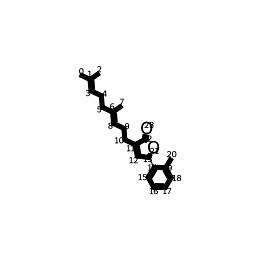 CC(C)=CCC/C(C)=C/CCC1=C[C@@H](c2ccccc2C)OC1=O